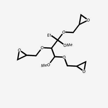 CCC(OC)(OCC1CO1)C(OCC1CO1)C(OC)OCC1CO1